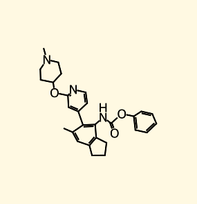 Cc1cc2c(c(NC(=O)Oc3ccccc3)c1-c1ccnc(OC3CCN(C)CC3)c1)CCC2